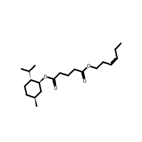 CC/C=C\CCOC(=O)CCCC(=O)O[C@H]1C[C@@H](C)CC[C@@H]1C(C)C